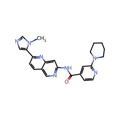 Cn1cncc1-c1ccc2cnc(NC(=O)c3ccnc(N4CCCCC4)c3)cc2n1